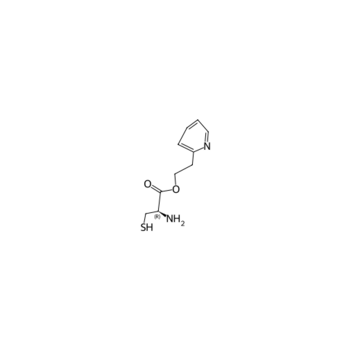 N[C@@H](CS)C(=O)OCCc1ccccn1